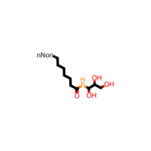 CCCCCCCCCCCCCCCC(=O)PC(O)C(O)CO